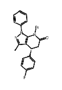 CCN1C(=O)C[C@@H](c2ccc(F)cc2)c2c(C)nn(-c3ccccc3)c21